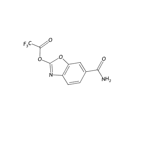 NC(=O)c1ccc2nc(OC(=O)C(F)(F)F)oc2c1